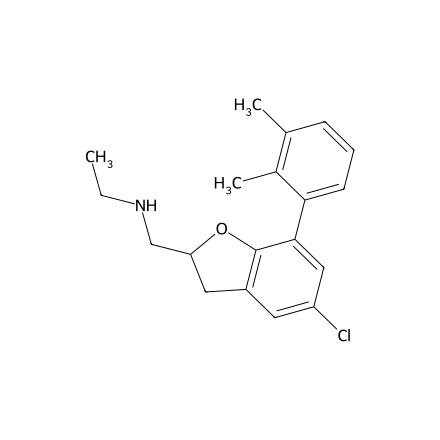 CCNCC1Cc2cc(Cl)cc(-c3cccc(C)c3C)c2O1